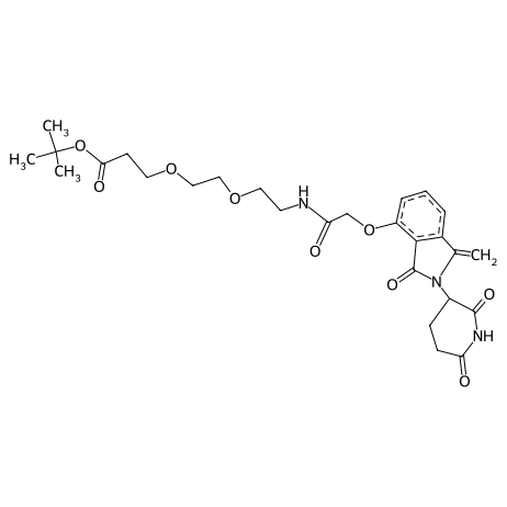 C=C1c2cccc(OCC(=O)NCCOCCOCCC(=O)OC(C)(C)C)c2C(=O)N1C1CCC(=O)NC1=O